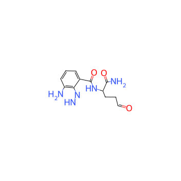 N=Nc1c(N)cccc1C(=O)NC(CCC=O)C(N)=O